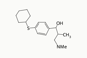 CNCC(C)C(O)c1ccc(SC2CCCCC2)cc1